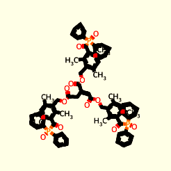 Cc1cc(C)c(C(=O)P(=O)(c2ccccc2)c2ccccc2)c(C)c1COC(=O)/C=C(\CC(=O)OCc1c(C)cc(C)c(C(=O)P(=O)(c2ccccc2)c2ccccc2)c1C)C(=O)OCc1c(C)cc(C)c(C(=O)P(=O)(c2ccccc2)c2ccccc2)c1C